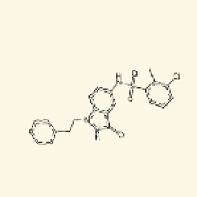 Cc1c(Cl)cccc1S(=O)(=O)Nc1ccc2c(c1)c(=O)[nH]n2CCc1ccccc1